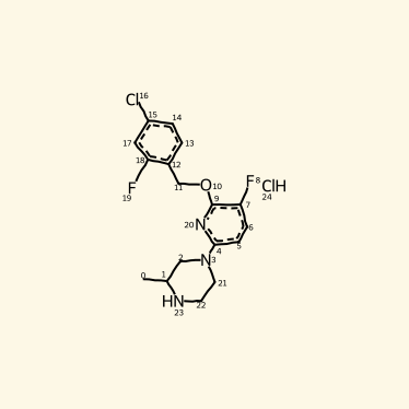 CC1CN(c2ccc(F)c(OCc3ccc(Cl)cc3F)n2)CCN1.Cl